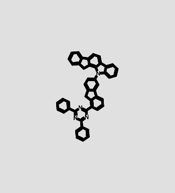 c1ccc(-c2nc(-c3ccccc3)nc(-c3cccc4c3Cc3ccc(-n5c6ccccc6c6ccc7c(c65)Cc5ccccc5-7)cc3-4)n2)cc1